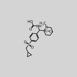 CN1CC2CCC1(C(NC(=O)O)c1ccc(S(=O)(=O)CC3CC3)cc1)CC2